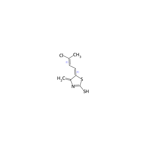 C=c1nc(S)s/c1=C/C=C(\C)Cl